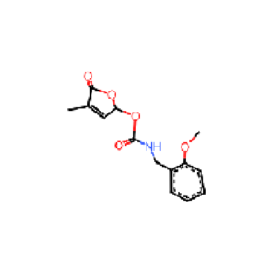 COc1ccccc1CNC(=O)OC1C=C(C)C(=O)O1